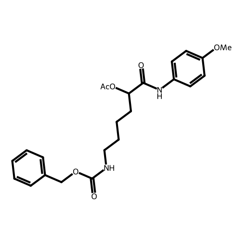 COc1ccc(NC(=O)C(CCCCNC(=O)OCc2ccccc2)OC(C)=O)cc1